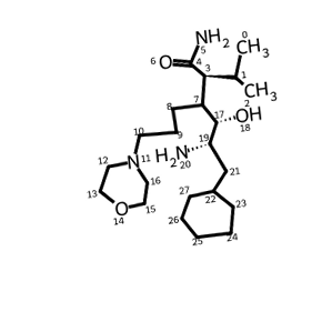 CC(C)[C@H](C(N)=O)C(CCCN1CCOCC1)[C@H](O)[C@@H](N)CC1CCCCC1